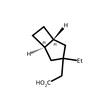 CCC1(CC(=O)O)C[C@H]2CC[C@@H]2C1